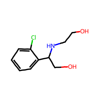 OCCNC(CO)c1ccccc1Cl